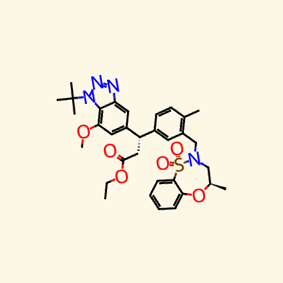 CCOC(=O)C[C@@H](c1ccc(C)c(CN2C[C@@H](C)Oc3ccccc3S2(=O)=O)c1)c1cc(OC)c2c(c1)nnn2C(C)(C)C